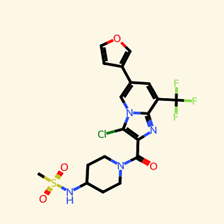 CS(=O)(=O)NC1CCN(C(=O)c2nc3c(C(F)(F)F)cc(-c4ccoc4)cn3c2Cl)CC1